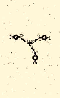 CCC(COCCOC(=O)c1ccc(N(C)C)cc1)(COCCOC(=O)c1ccc(N(C)C)cc1)COCCOC(O)c1ccc(N(C)C)cc1